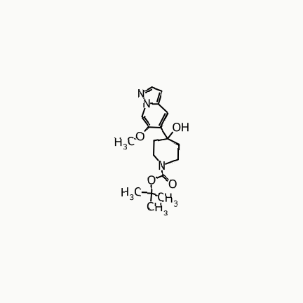 COc1cn2nccc2cc1C1(O)CCN(C(=O)OC(C)(C)C)CC1